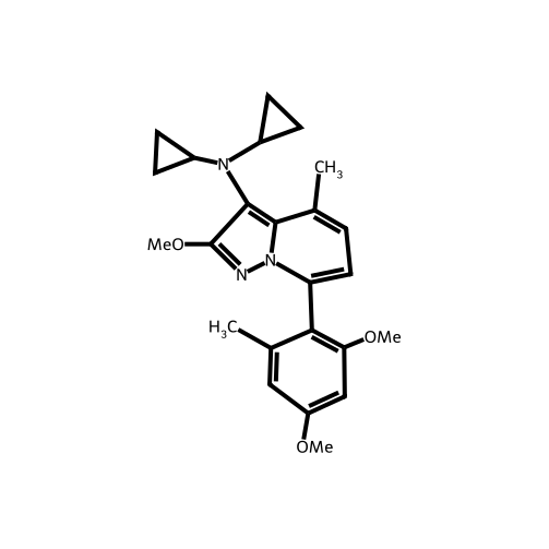 COc1cc(C)c(-c2ccc(C)c3c(N(C4CC4)C4CC4)c(OC)nn23)c(OC)c1